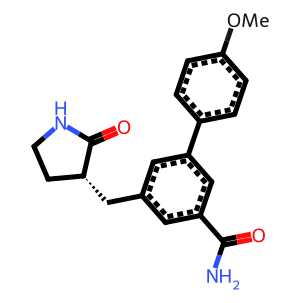 COc1ccc(-c2cc(C[C@@H]3CCNC3=O)cc(C(N)=O)c2)cc1